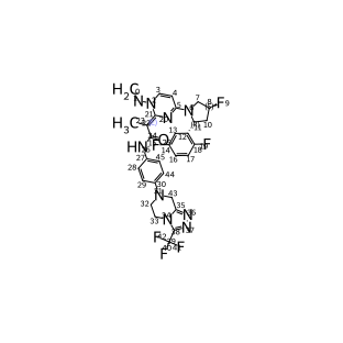 C=NN1C=CC(N2C[C@@H](F)C[C@@H]2c2cc(F)ccc2F)=N/C1=C(/C)C(=O)Nc1ccc(N2CCn3c(nnc3C(F)(F)F)C2)cc1